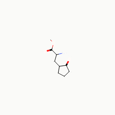 COC(=O)C(N)CC1CCCC1=O